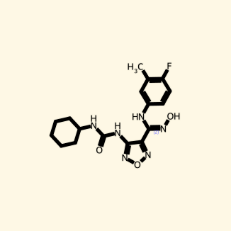 Cc1cc(N/C(=N\O)c2nonc2NC(=O)NC2CCCCC2)ccc1F